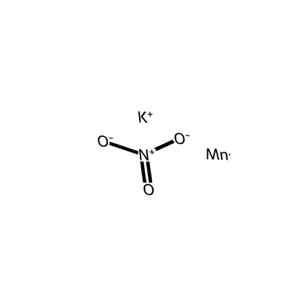 O=[N+]([O-])[O-].[K+].[Mn]